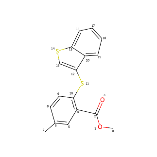 COC(=O)c1cc(C)ccc1Sc1csc2ccccc12